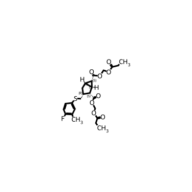 CCC(=O)OCOC(=O)[C@@H]1[C@H](CSc2ccc(F)c(C)c2)C[C@H]2[C@H](C(=O)OCOC(=O)CC)[C@H]21